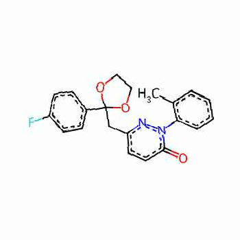 Cc1ccccc1-n1nc(CC2(c3ccc(F)cc3)OCCO2)ccc1=O